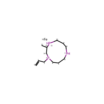 C=CCP1CCCPCCCPC(C)C1.[Fe]